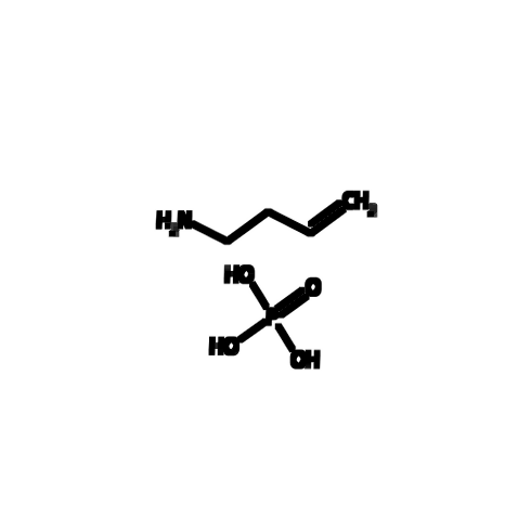 C=CCCN.O=P(O)(O)O